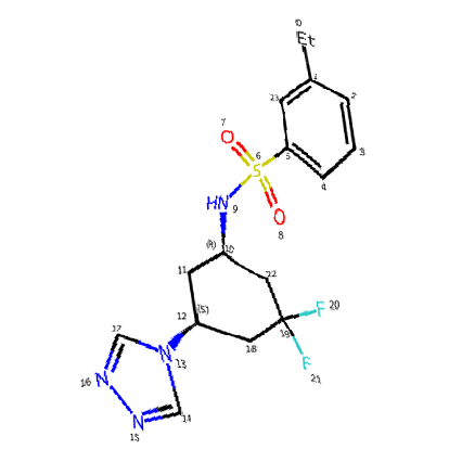 CCc1cccc(S(=O)(=O)N[C@@H]2C[C@H](n3cnnc3)CC(F)(F)C2)c1